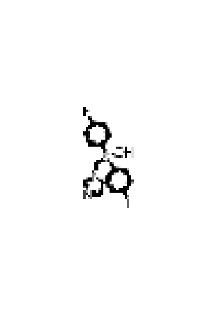 O[Si](Cn1cncn1)(c1ccc(F)cc1)c1ccc(F)cc1